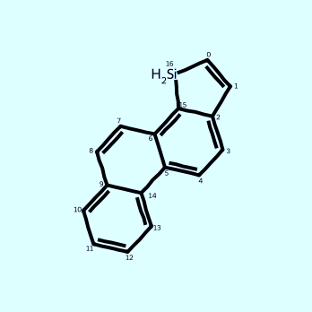 C1=Cc2ccc3c(ccc4ccccc43)c2[SiH2]1